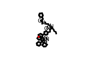 CCCCC1=NN(CCCN(C)C(=O)Cc2ccccc2)[N+](=O)C1Cc1ccc(-c2ccccc2-c2nnnn2C(c2ccccc2)(c2ccccc2)c2ccccc2)cc1